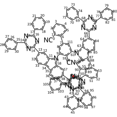 N#Cc1ccccc1-c1cc(-n2c3cc(-c4nc(-c5ccccc5)nc(-c5ccccc5)n4)ccc3c3ccc(-c4nc(-c5ccccc5)nc(-c5ccccc5)n4)cc32)c(C#N)c(-n2c3cc(-c4nc(-c5ccccc5)nc(-c5ccccc5)n4)ccc3c3ccc(-c4nc(-c5ccccc5)nc(-c5ccccc5)n4)cc32)c1